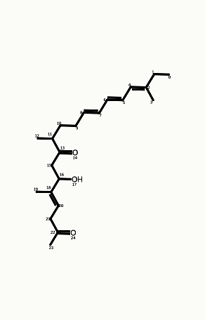 CC/C(C)=C/C=C/C=C/CCC(C)C(=O)CC(O)/C(C)=C/CC(C)=O